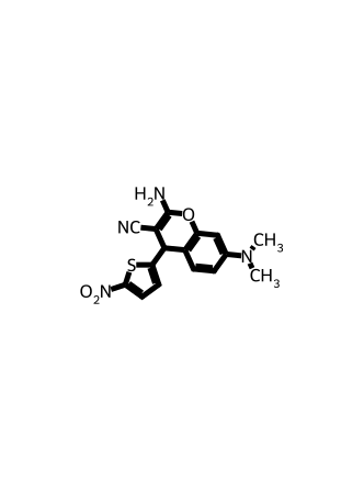 CN(C)c1ccc2c(c1)OC(N)=C(C#N)C2c1ccc([N+](=O)[O-])s1